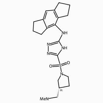 CNC[C@H]1CCN(S(=O)(=O)c2nnc(Nc3c4c(cc5c3CCC5)CCC4)[nH]2)C1